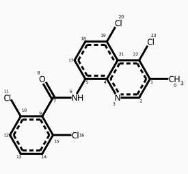 Cc1cnc2c(NC(=O)c3c(Cl)cccc3Cl)ccc(Cl)c2c1Cl